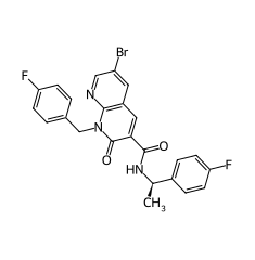 C[C@@H](NC(=O)c1cc2cc(Br)cnc2n(Cc2ccc(F)cc2)c1=O)c1ccc(F)cc1